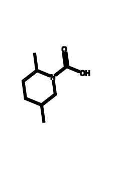 CC1CCC(C)N(C(=O)O)C1